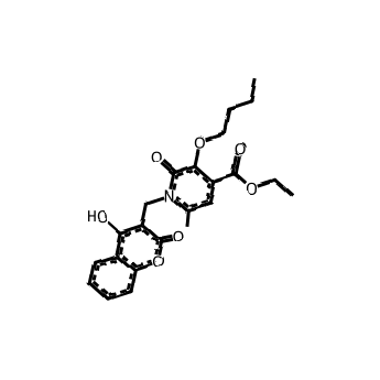 CCCCOc1c(C(=O)OCC)cc(C)n(Cc2c(O)c3ccccc3oc2=O)c1=O